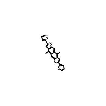 Cc1c2cc(-c3cccs3)sc2cc2c(C)c3cc(-c4cccs4)sc3cc12